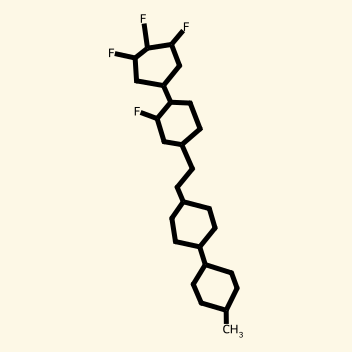 CC1CCC(C2CCC(CCC3CCC(C4CC(F)C(F)C(F)C4)C(F)C3)CC2)CC1